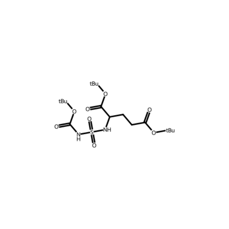 CC(C)(C)OC(=O)CCC(NS(=O)(=O)NC(=O)OC(C)(C)C)C(=O)OC(C)(C)C